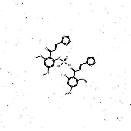 COc1cc(O)c(C(=O)/C=C/c2cccs2)c(OC)c1.COc1cc(OC)c(C(=O)/C=C/c2cccs2)c(OP(=O)(O)O)c1